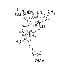 CC[C@H]1[C@@H](O[Si](C)(C)C(C)(C)C)C2C3CC[C@H]([C@H](C)CC/C=C/C(=O)OC)[C@@]3(C)CCC2[C@@]2(C)CC[C@@H](C)C[C@@H]12